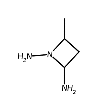 CC1CC(N)N1N